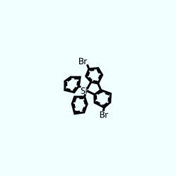 Brc1ccc2c(c1)[Si](c1ccccc1)(c1ccccc1)c1cc(Br)ccc1-2